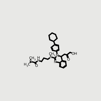 CN(C)C(=O)NCCCN(C)C1=Nc2ccccc2C(CC(=O)CO)N1c1ccc(C2CCCCC2)cc1